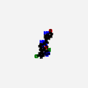 O=C1CCc2cc(-c3cnc([C@@H]4CCc5cc(-c6cc(Cl)ccc6-n6cc(Cl)nn6)cc(=O)n54)[nH]3)ccc2N1